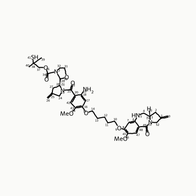 C=C1C[C@H]2CNc3cc(OCCCCCOc4cc(N)c(C(=O)N5CC(=C)C[C@H]5C5OCCN5C(=O)OCC(C)(C)S)cc4OC)c(OC)cc3C(=O)N2C1